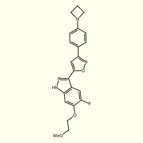 COCCOc1cc2[nH]nc(-c3cc(-c4ccc(N5CCC5)cc4)no3)c2cc1F